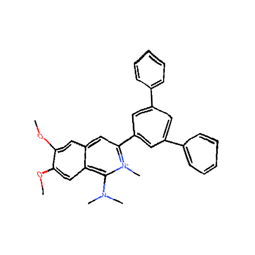 COc1cc2cc(-c3cc(-c4ccccc4)cc(-c4ccccc4)c3)[n+](C)c(N(C)C)c2cc1OC